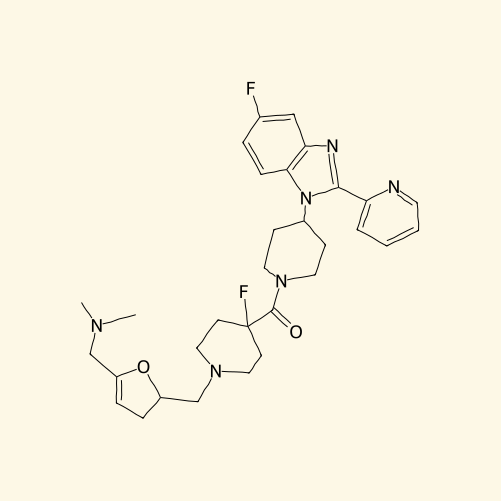 CN(C)CC1=CCC(CN2CCC(F)(C(=O)N3CCC(n4c(-c5ccccn5)nc5cc(F)ccc54)CC3)CC2)O1